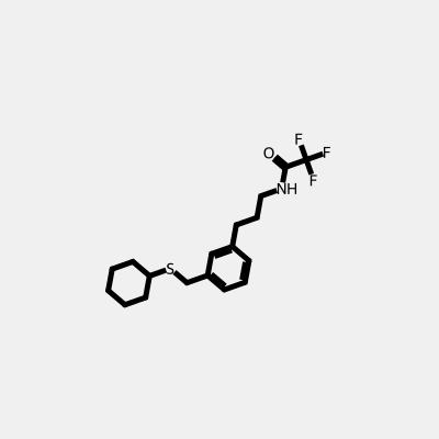 O=C(NCCCc1cccc(CSC2CCCCC2)c1)C(F)(F)F